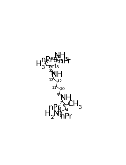 CCCC(N)(CCC)CC(C)CNCCCCCNCC(C)CC(N)(CCC)CCC